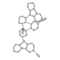 N#Cc1ccc(-c2cccc(-n3c4ccccc4c4cc(C#N)ccc43)c2)c(-c2c(C#N)cccc2-n2c3ccccc3c3ccccc32)c1